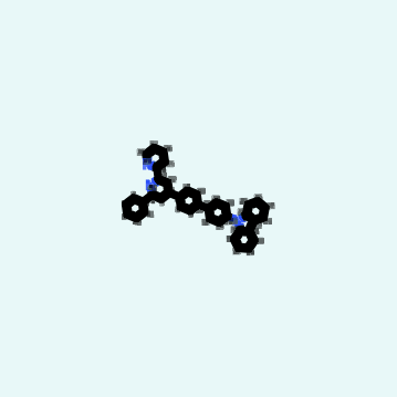 c1ccc(-c2cc(-c3ccc(-c4ccc(-n5c6ccccc6c6ccccc65)cc4)cc3)cc(-c3ccccn3)n2)cc1